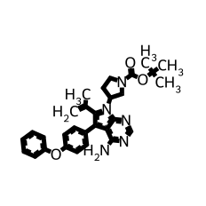 C=C(C)c1c(-c2ccc(Oc3ccccc3)cc2)c2c(N)ncnc2n1C1CCN(C(=O)OC(C)(C)C)C1